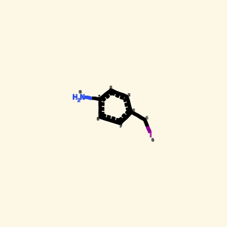 Nc1ccc(CI)cc1